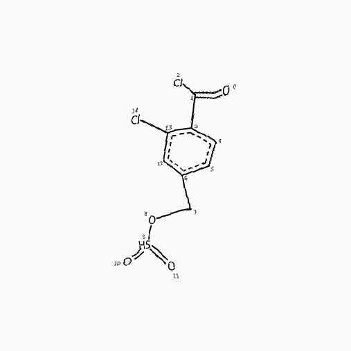 O=C(Cl)c1ccc(CO[SH](=O)=O)cc1Cl